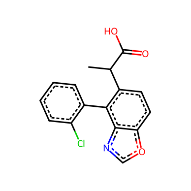 CC(C(=O)O)c1ccc2ocnc2c1-c1ccccc1Cl